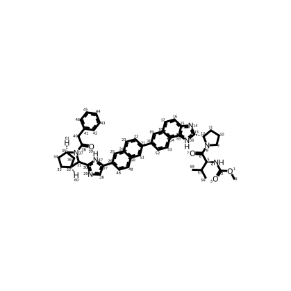 COC(=O)N[C@H](C(=O)N1CCC[C@H]1c1nc2ccc3cc(-c4ccc5cc(-c6cnc(C7[C@H]8CC[C@H](C8)N7C(=O)Cc7ccccc7)[nH]6)ccc5c4)ccc3c2[nH]1)C(C)C